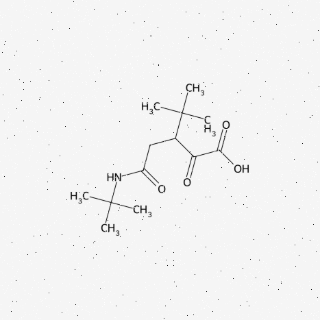 CC(C)(C)NC(=O)CC(C(=O)C(=O)O)C(C)(C)C